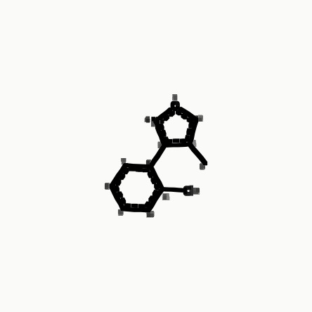 Cc1[c]onc1-c1ccccc1Cl